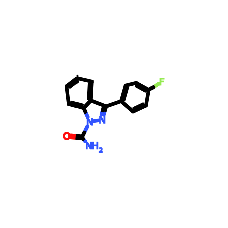 NC(=O)n1nc(-c2ccc(F)cc2)c2c[c]ccc21